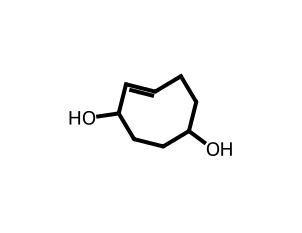 OC1/C=C/CCC(O)CC1